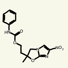 CC1(CCOC(=O)Nc2ccccc2)Cn2cc([N+](=O)[O-])nc2O1